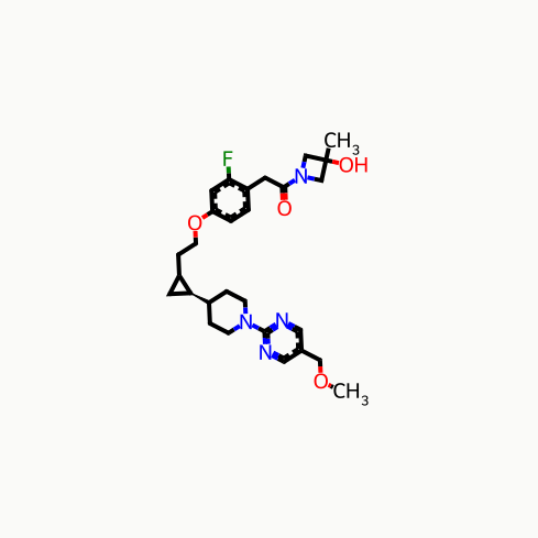 COCc1cnc(N2CCC([C@H]3CC3CCOc3ccc(CC(=O)N4CC(C)(O)C4)c(F)c3)CC2)nc1